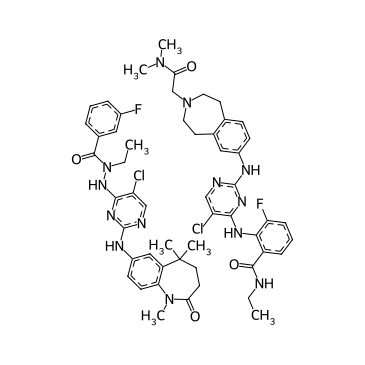 CCN(Nc1nc(Nc2ccc3c(c2)C(C)(C)CCC(=O)N3C)ncc1Cl)C(=O)c1cccc(F)c1.CCNC(=O)c1cccc(F)c1Nc1nc(Nc2ccc3c(c2)CCN(CC(=O)N(C)C)CC3)ncc1Cl